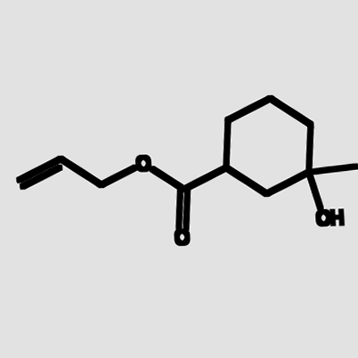 C=CCOC(=O)C1CCCC(C)(O)C1